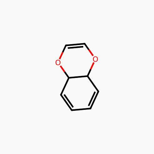 C1=CC2OC=COC2C=C1